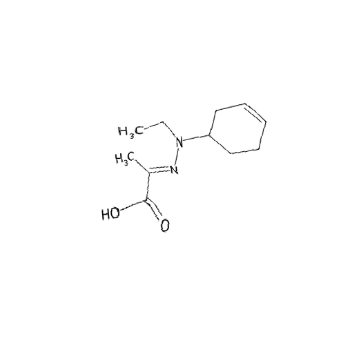 CCN(N=C(C)C(=O)O)C1CC=CCC1